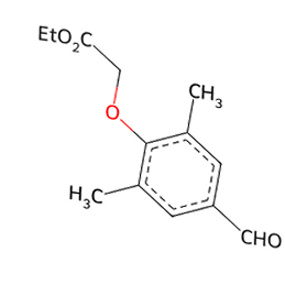 CCOC(=O)COc1c(C)cc(C=O)cc1C